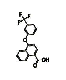 O=C(O)c1ccc(Oc2cccc(C(F)(F)F)c2)c2ccccc12